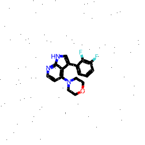 Fc1cccc(-c2c[nH]c3nccc(N4CCOCC4)c23)c1F